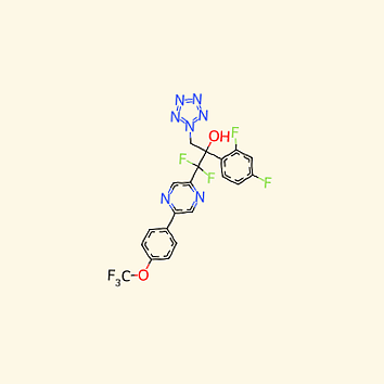 OC(Cn1nnnn1)(c1ccc(F)cc1F)C(F)(F)c1cnc(-c2ccc(OC(F)(F)F)cc2)cn1